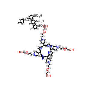 Cc1ccc(S(=O)(=O)O)cc1.Cc1ccc(S(=O)(=O)O)cc1.Cc1ccc(S(=O)(=O)O)cc1.Cc1ccc(S(=O)(=O)O)cc1.OCCOCCCN1C=CC(c2c3nc(c(C4=CCN(CCCOCCO)C=C4)c4ccc([nH]4)c(C4=CCN(CCCOCCO)C=C4)c4nc(c(C5=CCN(CCCOCCO)C=C5)c5ccc2[nH]5)C=C4)C=C3)=CC1